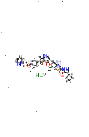 Cl.O=C(Cc1ccccc1)NC(=S)Nc1ccc(Oc2ccnc3cc(-c4ccc(OCCc5ccccn5)cc4)sc23)c(F)c1